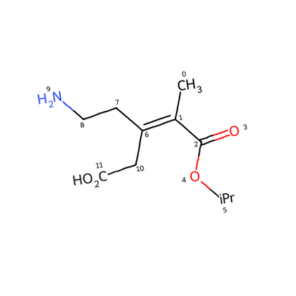 CC(C(=O)OC(C)C)=C(CCN)CC(=O)O